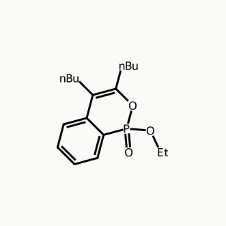 CCCCC1=C(CCCC)c2ccccc2P(=O)(OCC)O1